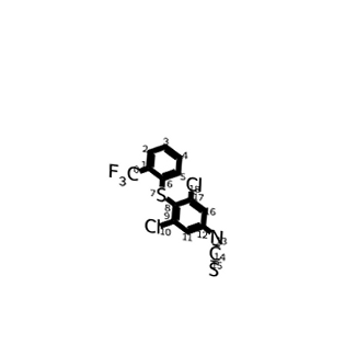 FC(F)(F)c1ccccc1Sc1c(Cl)cc(N=C=S)cc1Cl